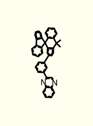 CC1(C)c2ccccc2C2(c3ccccc3-c3ccccc32)c2cc(-c3cccc(-c4cnc5ccccc5n4)c3)ccc21